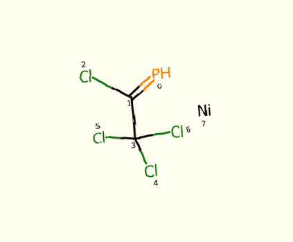 P=C(Cl)C(Cl)(Cl)Cl.[Ni]